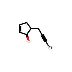 CCC#CCC1CC=CC1=O